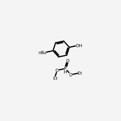 CCCCc1ccc(O)cc1.CCO[PH](=O)OCC